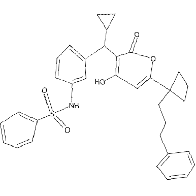 O=c1oc(C2(CCCc3ccccc3)CCC2)cc(O)c1C(c1cccc(NS(=O)(=O)c2ccccc2)c1)C1CC1